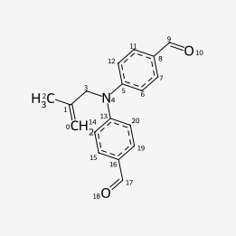 C=C(C)CN(c1ccc(C=O)cc1)c1ccc(C=O)cc1